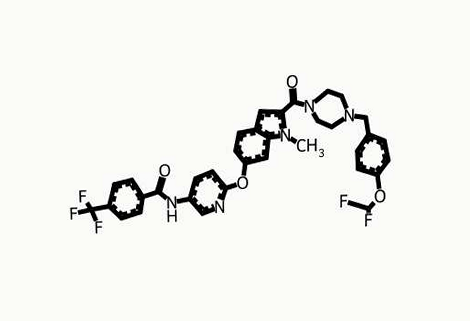 Cn1c(C(=O)N2CCN(Cc3ccc(OC(F)F)cc3)CC2)cc2ccc(Oc3ccc(NC(=O)c4ccc(C(F)(F)F)cc4)cn3)cc21